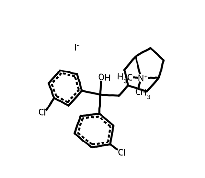 C[N+]1(C)C2CCC1CC(CC(O)(c1cccc(Cl)c1)c1cccc(Cl)c1)C2.[I-]